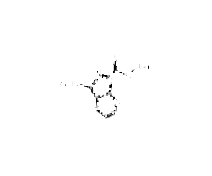 CC(C)(C)OC(=O)n1nc(C=O)c2cccnc21